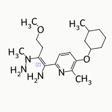 COCC/C(=C(/N)c1ccc(OC2CCCC(C)C2)c(C)n1)N(C)N